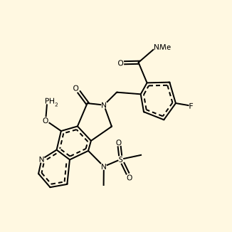 CNC(=O)c1cc(F)ccc1CN1Cc2c(c(OP)c3ncccc3c2N(C)S(C)(=O)=O)C1=O